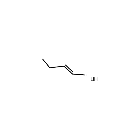 [CH2]C=CCC.[LiH]